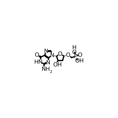 Nc1nc2c(ncn2[C@@H]2O[C@H](OCP(=O)(O)O)CC2O)c(=O)[nH]1